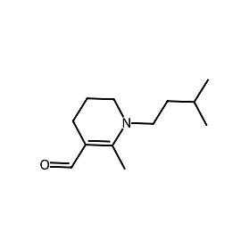 CC1=C(C=O)CCCN1CCC(C)C